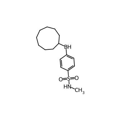 CNS(=O)(=O)c1ccc(BC2CCCCCCCC2)cc1